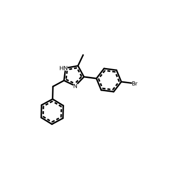 Cc1[nH]c(Cc2ccccc2)nc1-c1ccc(Br)cc1